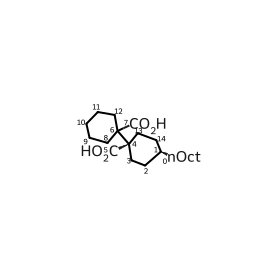 CCCCCCCC[C@H]1CC[C@](C(=O)O)(C2(C(=O)O)CCCCC2)CC1